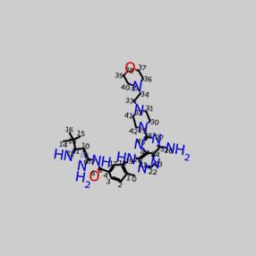 Cc1ccc(C(=O)N/C(N)=C/C(=N)C(C)(C)C)cc1Nc1ncnc2c(N)nc(N3CCN(CCN4CCOCC4)CC3)nc12